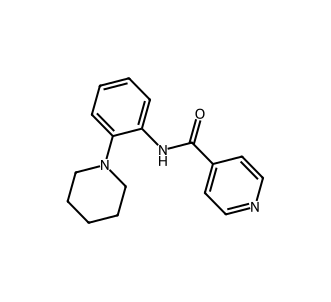 O=C(Nc1ccccc1N1CCCCC1)c1ccncc1